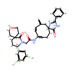 C=C1/C=C\C(NC(=O)CN2C(=O)C3(CCOCC3)CC[C@H]2c2cc(F)cc(F)c2)=C/CCC2(C1)N=C(c1ccccc1)NC2=O